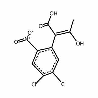 CC(O)=C(C(=O)O)c1cc(Cl)c(Cl)cc1[N+](=O)[O-]